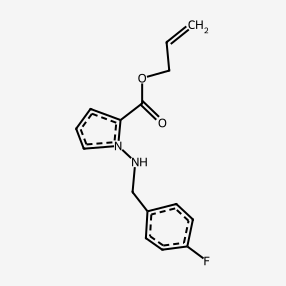 C=CCOC(=O)c1cccn1NCc1ccc(F)cc1